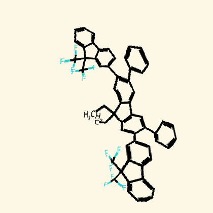 CCC1(CC)c2cc(-c3ccc4c(c3)C(C(F)(F)F)(C(F)(F)F)c3ccccc3-4)c(-c3ccccc3)cc2-c2cc(-c3ccccc3)c(-c3ccc4c(c3)C(C(F)(F)F)(C(F)(F)F)c3ccccc3-4)cc21